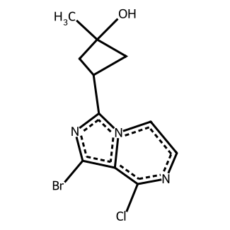 CC1(O)CC(c2nc(Br)c3c(Cl)nccn23)C1